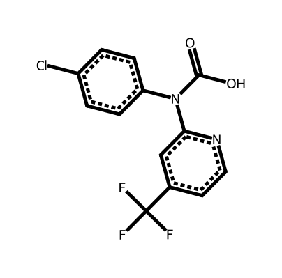 O=C(O)N(c1ccc(Cl)cc1)c1cc(C(F)(F)F)ccn1